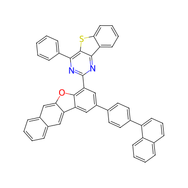 c1ccc(-c2nc(-c3cc(-c4ccc(-c5cccc6ccccc56)cc4)cc4c3oc3cc5ccccc5cc34)nc3c2sc2ccccc23)cc1